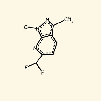 Cc1nn(Cl)c2nc(C(F)F)ccc12